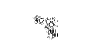 CC(=O)N1c2ccc(-c3ccc(S(C)(=O)=O)cc3)cc2N(C(=O)C2CC3CCCNC3N2)C[C@@H]1C